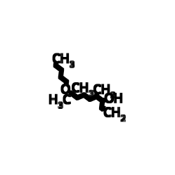 C=CC(O)C(C)CCCC(C)(C)OCCCCC